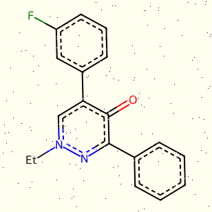 CCn1cc(-c2cccc(F)c2)c(=O)c(-c2ccccc2)n1